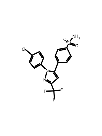 NS(=O)(=O)c1ccc(-c2cc(C(F)(F)F)nn2-c2ccc(Cl)cc2)cc1